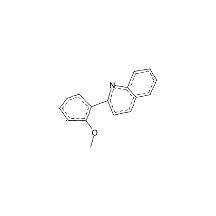 COc1[c]cccc1-c1ccc2ccccc2n1